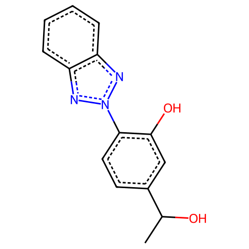 CC(O)c1ccc(-n2nc3ccccc3n2)c(O)c1